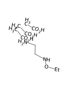 CC(=O)O.CC(=O)O.CC(=O)O.CCONCCN